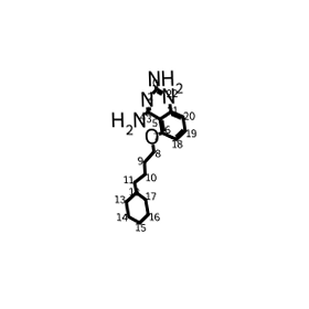 Nc1nc(N)c2c(OCCCCC3CCCCC3)cccc2n1